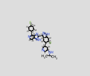 CC(C)Nc1cncc(-c2cc3c(-c4nc5c(-c6ccc(F)cc6)nccc5[nH]4)n[nH]c3cc2F)c1